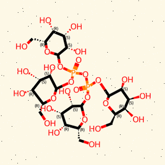 O=P(OC1O[C@H](CO)[C@H](O)[C@H](O)[C@@H]1O)(OC1O[C@H](CO)[C@H](O)[C@H](O)[C@@H]1O)OP(=O)(OC1O[C@H](CO)[C@H](O)[C@H](O)[C@@H]1O)OC1O[C@H](CO)[C@H](O)[C@H](O)[C@@H]1O